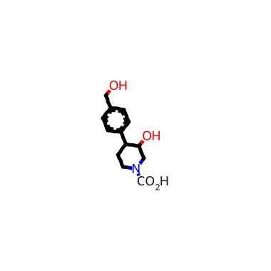 O=C(O)N1CCC(c2ccc(CO)cc2)C(O)C1